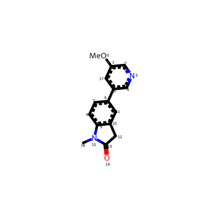 COc1cncc(-c2ccc3c(c2)CC(=O)N3C)c1